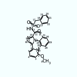 COc1cccc(-c2nnc(C(=O)NS(=O)(=O)Cc3ccccc3)n2-c2c(F)cccc2F)n1